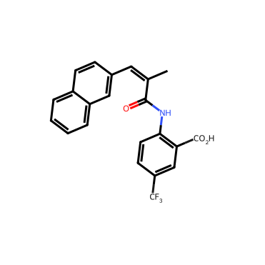 CC(=Cc1ccc2ccccc2c1)C(=O)Nc1ccc(C(F)(F)F)cc1C(=O)O